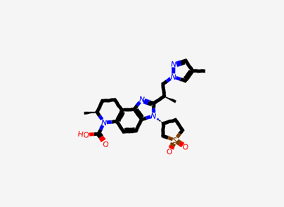 Cc1cnn(C[C@@H](C)c2nc3c4c(ccc3n2[C@@H]2CCS(=O)(=O)C2)N(C(=O)O)[C@@H](C)CC4)c1